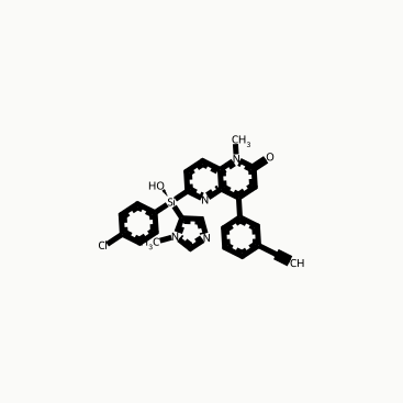 C#Cc1cccc(-c2cc(=O)n(C)c3ccc([Si@](O)(c4ccc(Cl)cc4)c4cncn4C)nc23)c1